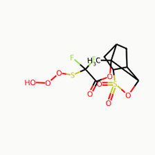 CC1(OC(=O)C(F)(F)SOOO)C2CC3C1OS(=O)(=O)C3C2